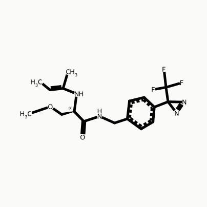 CC=C(C)N[C@H](COC)C(=O)NCc1ccc(C2(C(F)(F)F)N=N2)cc1